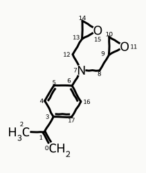 C=C(C)c1ccc(N(CC2CO2)CC2CO2)cc1